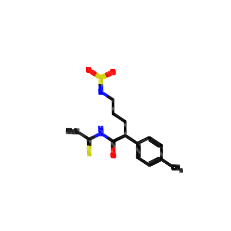 CNC(=S)NC(=O)C(CCCN=S(=O)=O)c1ccc(C)cc1